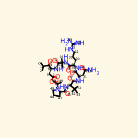 CC(C)C(=O)[C@H](CC(=O)O)NC(=O)C(C)(C)NC(=O)[C@@H](CCCNC(=N)N)NC(=O)[C@@H](CC(N)=O)NC(=O)[C@H](NC(=O)[C@H]1CCCN1C(C)C)C(C)(C)C